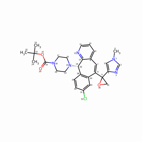 Cn1cnc(C2(C3=Cc4cccnc4[C@@H](N4CCN(C(=O)OC(C)(C)C)CC4)c4ccc(Cl)cc43)CO2)c1